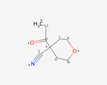 CCC(=O)C1(C#N)CCOCC1